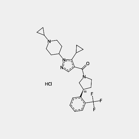 Cl.O=C(c1cnn(C2CCN(C3CC3)CC2)c1C1CC1)N1CC[C@@H](c2ccccc2C(F)(F)F)C1